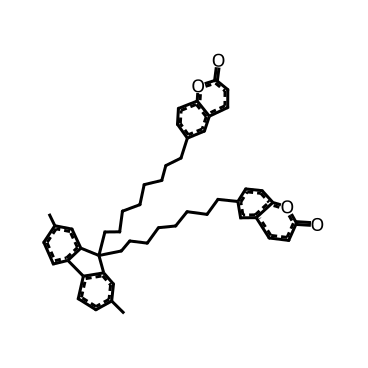 Cc1ccc2c(c1)C(CCCCCCCCc1ccc3oc(=O)ccc3c1)(CCCCCCCCc1ccc3oc(=O)ccc3c1)c1cc(C)ccc1-2